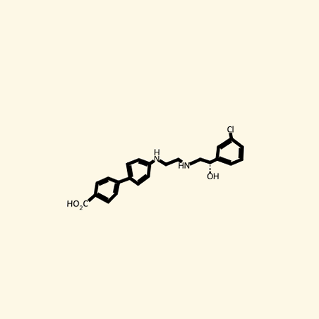 O=C(O)c1ccc(-c2ccc(NCCNC[C@@H](O)c3cccc(Cl)c3)cc2)cc1